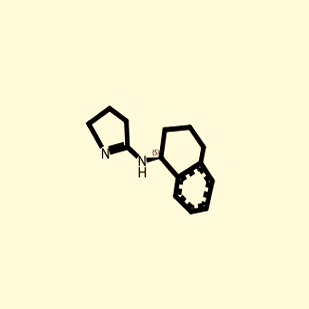 c1ccc2c(c1)CCC[C@@H]2NC1=NCCC1